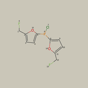 FCc1ccc(P(Cl)c2ccc(CF)o2)o1